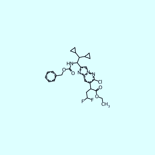 CCOC(=O)C(CC(F)F)c1cc2nc(C(NC(=O)OCc3ccccc3)C(C3CC3)C3CC3)cn2nc1Cl